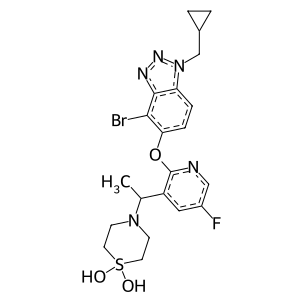 CC(c1cc(F)cnc1Oc1ccc2c(nnn2CC2CC2)c1Br)N1CCS(O)(O)CC1